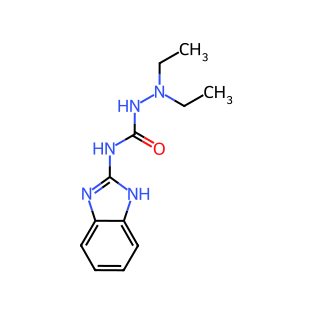 CCN(CC)NC(=O)Nc1nc2ccccc2[nH]1